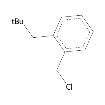 CC(C)(C)Cc1ccccc1CCl